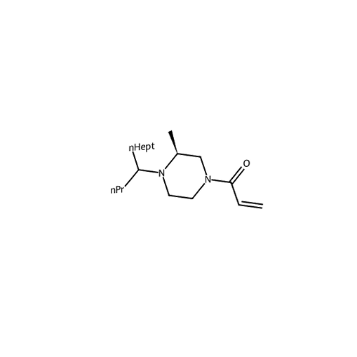 C=CC(=O)N1CCN(C(CCC)CCCCCCC)[C@@H](C)C1